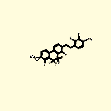 CCCc1ccc(CCc2ccc3c(c2F)C(F)(F)C(F)(F)c2c-3ccc(OCC)c2F)c(F)c1F